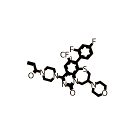 C=CC(=O)N1CCN(c2nc(=O)n3c4c(c(-c5ccc(F)cc5F)c(C(F)(F)F)cc24)SCC(N2CCOCC2)C3)CC1